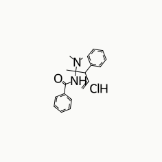 C=CC(c1ccccc1)C(C)(NC(=O)c1ccccc1)N(C)C.Cl